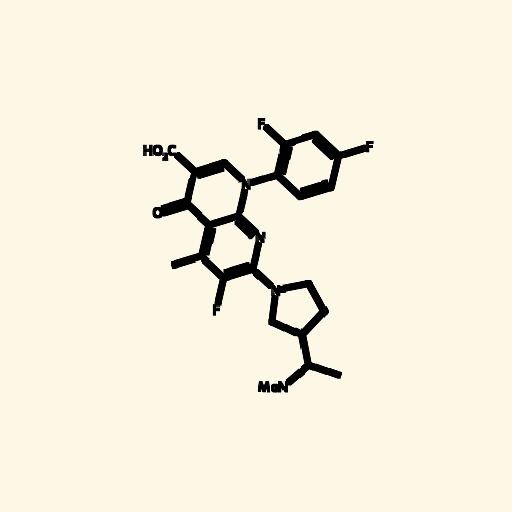 CNC(C)C1CCN(c2nc3c(c(C)c2F)c(=O)c(C(=O)O)cn3-c2ccc(F)cc2F)C1